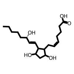 CCCCC[C@H](O)/C=C/C1C(O)CC(O)C1C/C=C\CCCC(=O)O